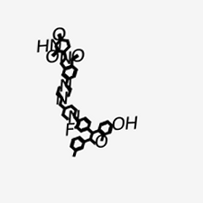 Cc1cccc(C2COc3cc(O)ccc3C2c2ccc(N3CCC(CN4CCN(c5ccc6c(c5)CN(C5CCC(=O)NC5=O)C6=O)CC4)CC3)c(F)c2)c1